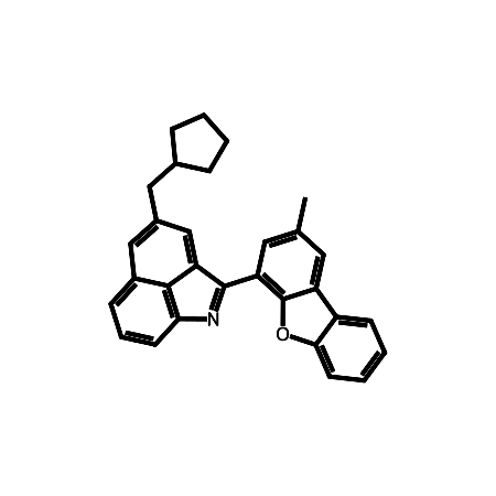 Cc1cc(C2=Nc3cccc4cc(CC5CCCC5)cc2c34)c2oc3ccccc3c2c1